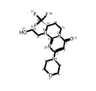 O=c1cc(N2CCOCC2)nc2n1CC[C@@H](C(F)(F)F)N2CCO